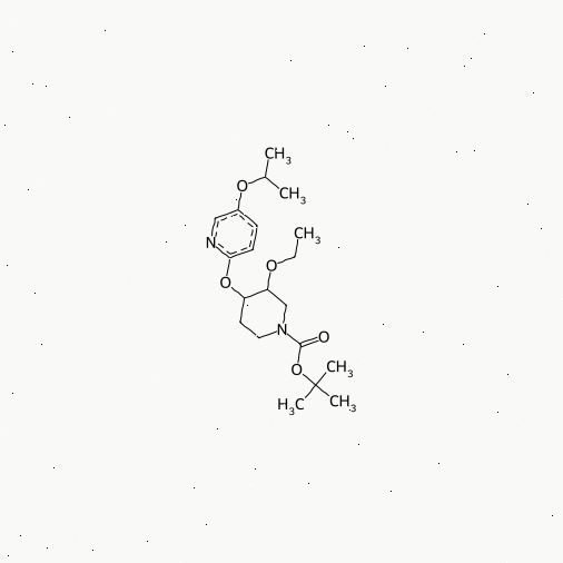 CCOC1CN(C(=O)OC(C)(C)C)CCC1Oc1ccc(OC(C)C)cn1